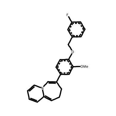 COc1cc(C2=CN3C=CC=CC3=CCC2)ccc1OCc1cccc(F)c1